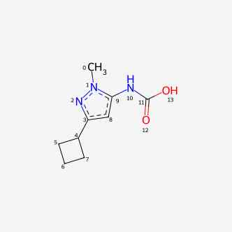 Cn1nc(C2CCC2)cc1NC(=O)O